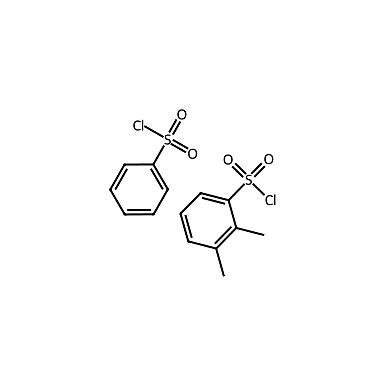 Cc1cccc(S(=O)(=O)Cl)c1C.O=S(=O)(Cl)c1ccccc1